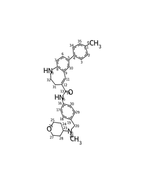 Cc1ccc(-c2ccc3c(c2)C=C(C(=O)Nc2ccc(CN(C)C4CCOCC4)cc2)CCN3)cc1